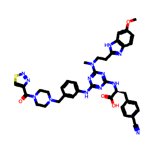 COc1ccc2nc(CCN(C)c3nc(Nc4cccc(CN5CCN(C(=O)c6csnn6)CC5)c4)nc(N[C@@H](Cc4ccc(C#N)cc4)C(=O)O)n3)[nH]c2c1